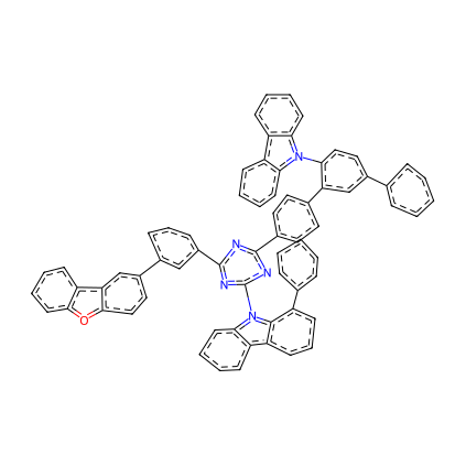 c1ccc(-c2ccc(-n3c4ccccc4c4ccccc43)c(-c3ccc(-c4nc(-c5cccc(-c6ccc7oc8ccccc8c7c6)c5)nc(-n5c6ccccc6c6cccc(-c7ccccc7)c65)n4)cc3)c2)cc1